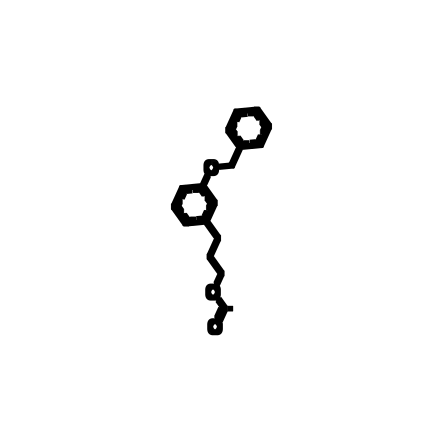 O=[C]OCCCc1cccc(OCc2ccccc2)c1